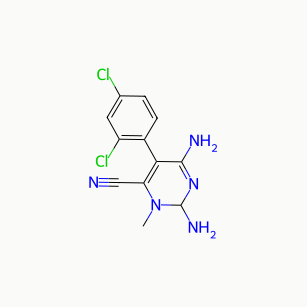 CN1C(C#N)=C(c2ccc(Cl)cc2Cl)C(N)=NC1N